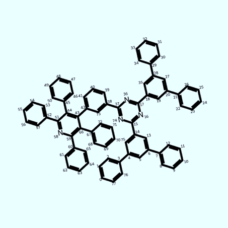 c1ccc(-c2cc(-c3ccccc3)cc(-c3nc(-c4cc(-c5ccccc5)cc(-c5ccccc5)c4)nc(-c4cccc(-c5c(-c6ccccc6)c(-c6ccccc6)nc(-c6ccccc6)c5-c5ccccc5)c4)n3)c2)cc1